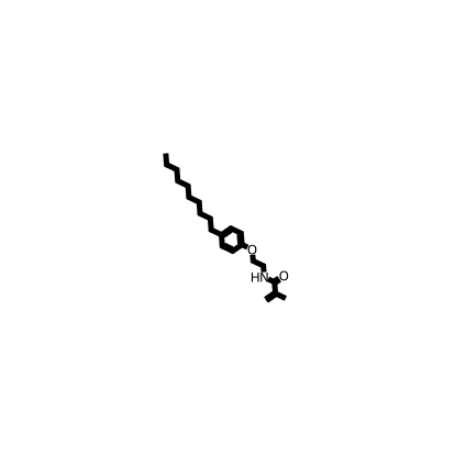 C=C(C)C(=O)NCCOc1ccc(CCCCCCCCCC)cc1